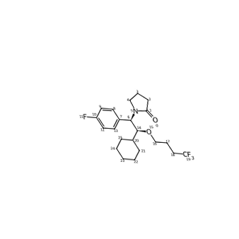 O=C1CCCN1[C@H](c1ccc(F)cc1)[C@@H](OCCCC(F)(F)F)C1CCCCC1